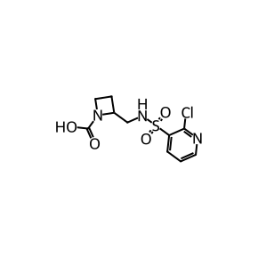 O=C(O)N1CCC1CNS(=O)(=O)c1cccnc1Cl